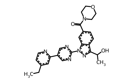 CCc1ccnc(-c2cnc(-n3nc(C(C)O)c4ccc(C(=O)N5CCOCC5)cc43)nc2)c1